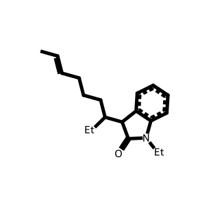 CC=CCCCC(CC)C1C(=O)N(CC)c2ccccc21